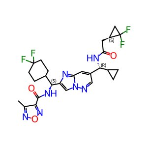 Cc1nonc1C(=O)N[C@H](c1cn2ncc([C@H](NC(=O)C[C@H]3CC3(F)F)C3CC3)cc2n1)C1CCC(F)(F)CC1